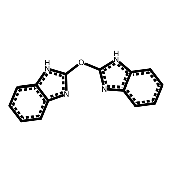 c1ccc2[nH]c(Oc3nc4ccccc4[nH]3)nc2c1